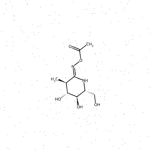 CC(=O)O/N=C1\N[C@H](CO)[C@@H](O)[C@H](O)[C@H]1C